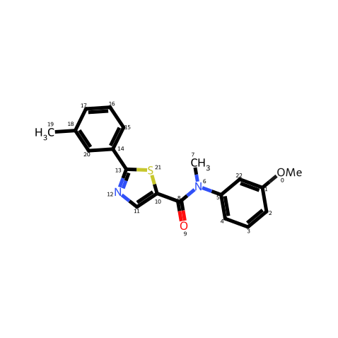 COc1cccc(N(C)C(=O)c2cnc(-c3cccc(C)c3)s2)c1